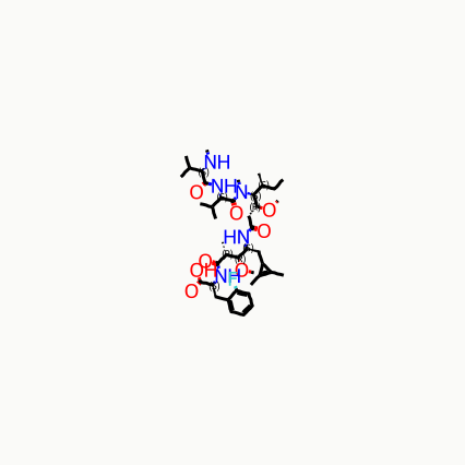 CC[C@H](C)[C@@H]([C@@H](CC(=O)N[C@@H](CC1C(C)=C1C)[C@H](OC)[C@@H](C)C(=O)N[C@@H](Cc1ccccc1F)C(=O)O)OC)N(C)C(=O)[C@@H](NC(=O)[C@@H](NC)C(C)C)C(C)C